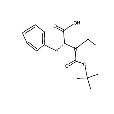 CCN(C(=O)OC(C)(C)C)[C@H](Cc1ccccc1)C(=O)O